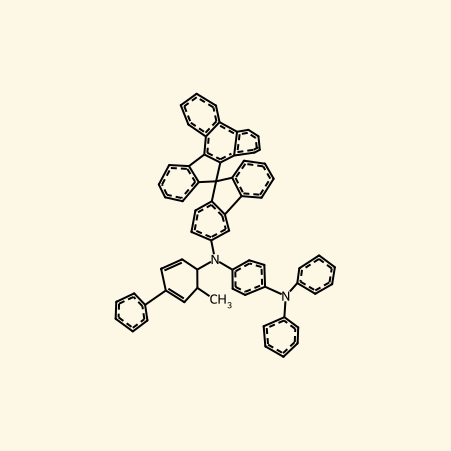 CC1C=C(c2ccccc2)C=CC1N(c1ccc(N(c2ccccc2)c2ccccc2)cc1)c1ccc2c(c1)-c1ccccc1C21c2ccccc2-c2c1c1ccccc1c1ccccc21